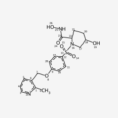 Cc1ncccc1COc1ccc(S(=O)(=O)N2CC(O)CCC2C(=O)NO)cc1